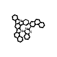 C1=Cc2c(n3c4ccccc4c4cc5c6ccc7ccccc7c6n(-c6nc(-c7ccc8ccc9ccccc9c8c7)nc7ccccc67)c5c2c43)CC1